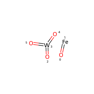 [O]=[Fe].[O]=[W](=[O])=[O]